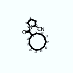 N#C[C@@H]1CCCN1C(=O)C1CCCCCCCCCC1